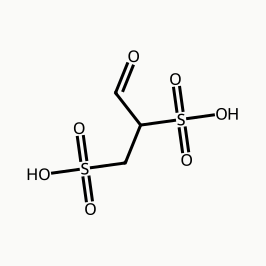 O=CC(CS(=O)(=O)O)S(=O)(=O)O